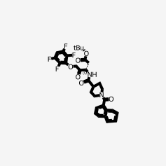 CC(C)(C)OC(=O)C[C@H](NC(=O)C1CCN(C(=O)c2cccc3ccccc23)CC1)C(=O)COc1c(F)c(F)cc(F)c1F